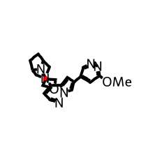 COc1cc(-c2cc3c(N4CC5CCC(C4)N5C4COC4)ccnn3c2)cnn1